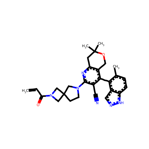 C=CC(=O)N1CC2(CCN(c3nc4c(c(-c5c(C)ccc6[nH]ncc56)c3C#N)COC(C)(C)C4)C2)C1